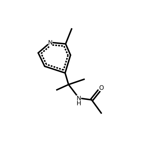 CC(=O)NC(C)(C)c1ccnc(C)c1